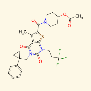 CC(=O)OC1CCN(C(=O)c2sc3c(c2C)c(=O)n(CC2(c4ccccc4)CC2)c(=O)n3CCC(F)(F)F)CC1